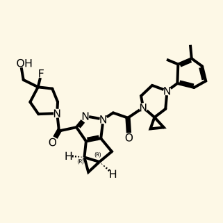 Cc1cccc(N2CCN(C(=O)Cn3nc(C(=O)N4CCC(F)(CO)CC4)c4c3C[C@H]3C[C@@H]43)C3(CC3)C2)c1C